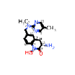 Cc1cnc(N(C)Cc2ccc3c(c2)C[C@H](N)C(=O)N3O)nc1